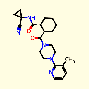 Cc1cccnc1N1CCN(C(=O)[C@@H]2CCCC[C@H]2C(=O)NC2(C#N)CC2)CC1